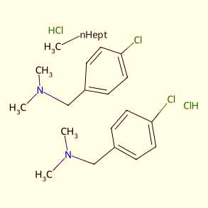 CCCCCCCC.CN(C)Cc1ccc(Cl)cc1.CN(C)Cc1ccc(Cl)cc1.Cl.Cl